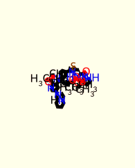 CCn1c(-c2cc(N3CCN4CCCC[C@@H]4C3)cnc2[C@H](C)OC)c(CC(C)(C)COC=O)c2cc(-c3csc(C[C@H](NC(=O)OC(C)(C)C)C(=O)N4CCCCN4)n3)ccc21